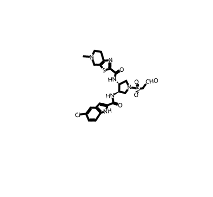 CN1CCc2nc(C(=O)N[C@@H]3CN(S(=O)(=O)CC=O)C[C@H]3NC(=O)c3cc4cc(Cl)ccc4[nH]3)sc2C1